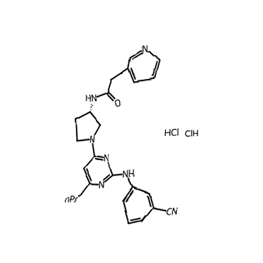 CCCc1cc(N2CC[C@H](NC(=O)Cc3cccnc3)C2)nc(Nc2cccc(C#N)c2)n1.Cl.Cl